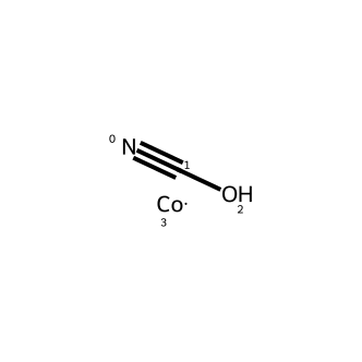 N#CO.[Co]